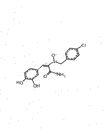 NC(=O)/C(=C\c1ccc(O)c(O)c1)[S+]([O-])Cc1ccc(Cl)cc1